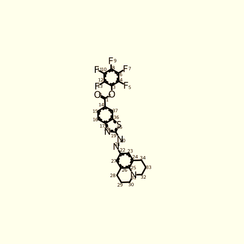 O=C(Oc1c(F)c(F)c(F)c(F)c1F)c1ccc2nc(/N=N/c3cc4c5c(c3)CCCN5CCC4)sc2c1